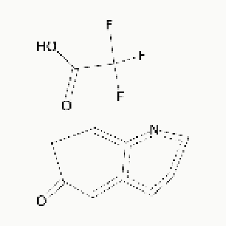 O=C(O)C(F)(F)F.O=C1C=c2cccnc2=CC1